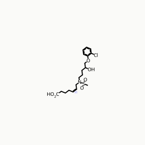 CS(=O)(=O)N(C/C=C\CCCC(=O)O)CCCC(O)COc1ccccc1Cl